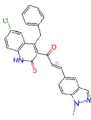 Cn1ncc2cc(/C=C/C(=O)c3c(Cc4ccccc4)c4cc(Cl)ccc4[nH]c3=O)ccc21